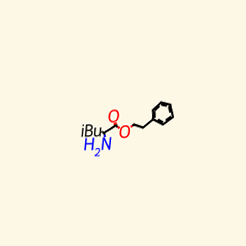 CCC(C)C(N)C(=O)OCCc1ccccc1